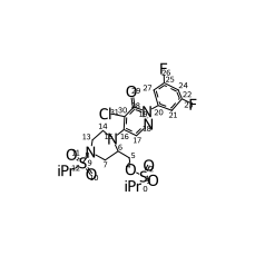 CC(C)S(=O)(=O)OCC1CN(S(=O)(=O)C(C)C)CCN1c1cnn(-c2cc(F)cc(F)c2)c(=O)c1Cl